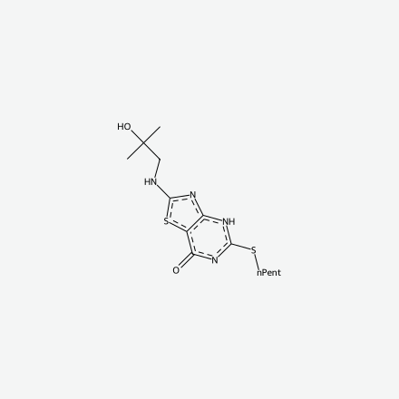 CCCCCSc1nc(=O)c2sc(NCC(C)(C)O)nc2[nH]1